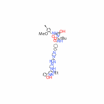 C#Cc1ccc(CNC(=O)[C@@H]2C[C@@H](O)CN2C(=O)[C@@H](NC(=O)[C@H]2CCC3(CC2)C[C@H](N2CCN(c4cnc(N5CCN(c6cc(-c7ccccc7O)nnc6NCC)CC5)nc4)CC2)C3)C(C)(C)C)c(OC)c1